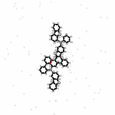 c1ccc(-c2ccccc2N(c2ccc3oc4ccccc4c3c2)c2ccc3c(c2)c2ccccc2c2c4ccc(N(c5ccccc5)c5cccc6c5oc5ccccc56)cc4oc32)cc1